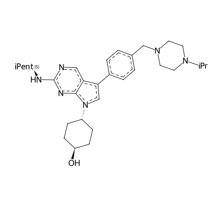 CCC[C@H](C)Nc1ncc2c(-c3ccc(CN4CCN(C(C)C)CC4)cc3)cn([C@H]3CC[C@H](O)CC3)c2n1